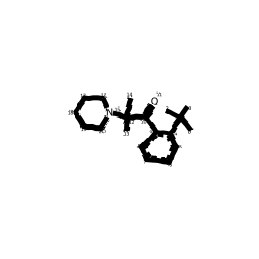 CC(C)(C)c1ccccc1C(=O)C(C)(C)N1CCCCC1